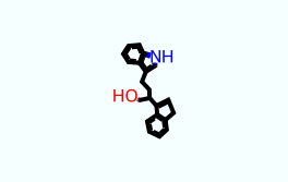 OCC(CCc1c[nH]c2ccccc12)C1=CCc2ccccc21